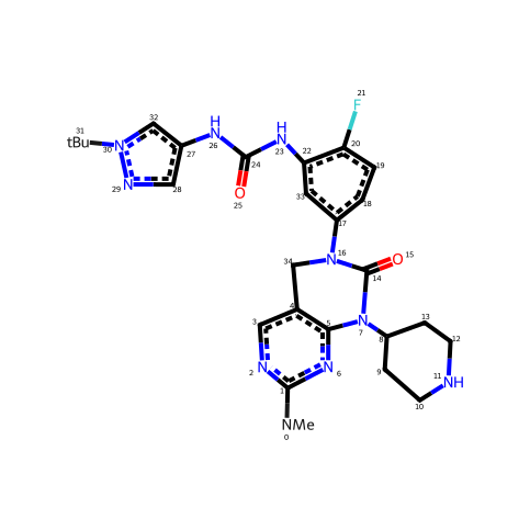 CNc1ncc2c(n1)N(C1CCNCC1)C(=O)N(c1ccc(F)c(NC(=O)Nc3cnn(C(C)(C)C)c3)c1)C2